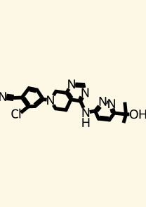 CC(C)(O)c1ccc(Nc2ncnc3c2CCN(c2ccc(C#N)c(Cl)c2)C3)nn1